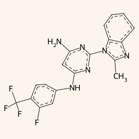 Cc1nc2ccccc2n1-c1nc(N)cc(Nc2ccc(C(F)(F)F)c(F)c2)n1